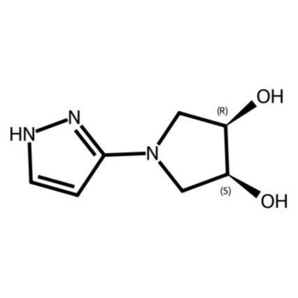 O[C@@H]1CN(c2cc[nH]n2)C[C@@H]1O